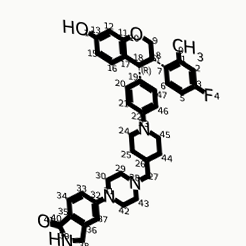 Cc1cc(F)ccc1[C@H]1COc2cc(O)ccc2[C@H]1c1ccc(N2CCC(CN3CCN(c4ccc5c(c4)CNC5=O)CC3)CC2)cc1